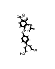 CC(=O)Nc1c(N=Nc2ccc(N(CCO)CCO)cc2)ccc([N+](=O)[O-])c1C